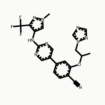 CC(Cn1cncn1)Oc1cc(-c2cnc(Nc3cn(C)nc3C(F)(F)F)nc2)ccc1C#N